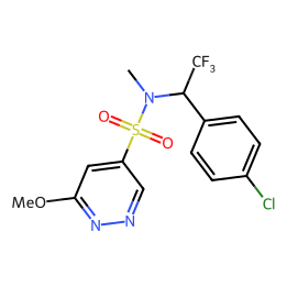 COc1cc(S(=O)(=O)N(C)C(c2ccc(Cl)cc2)C(F)(F)F)cnn1